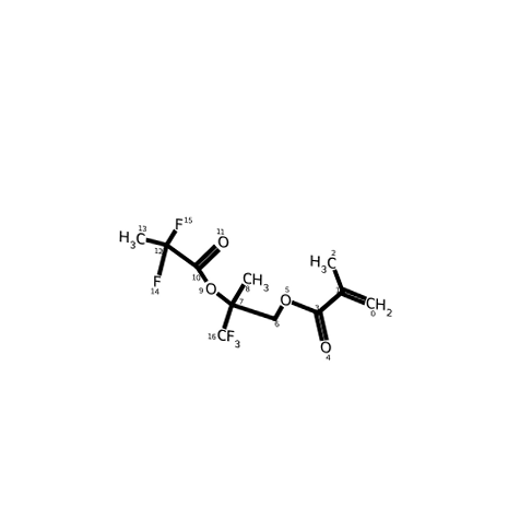 C=C(C)C(=O)OCC(C)(OC(=O)C(C)(F)F)C(F)(F)F